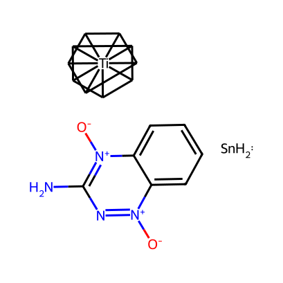 Nc1n[n+]([O-])c2ccccc2[n+]1[O-].[CH]12[CH]3[CH]4[CH]5[CH]1[Ti]23451678[CH]2[CH]1[CH]6[CH]7[CH]28.[SnH2]